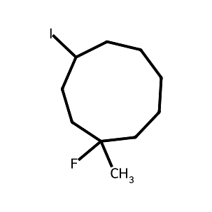 CC1(F)CCCCCC(I)CC1